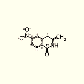 C=C1Cc2cc([N+](=O)[O-])ccc2C(=O)N1